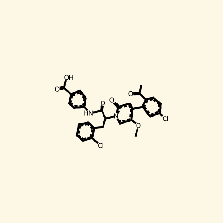 COc1cn(C(Cc2ccccc2Cl)C(=O)Nc2ccc(C(=O)O)cc2)c(=O)cc1-c1cc(Cl)ccc1C(C)=O